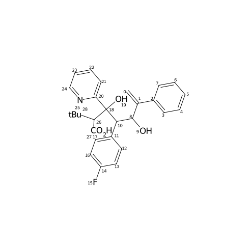 C=C(c1ccccc1)C(O)C(c1ccc(F)cc1)C(O)(c1ccccn1)C(C(=O)O)C(C)(C)C